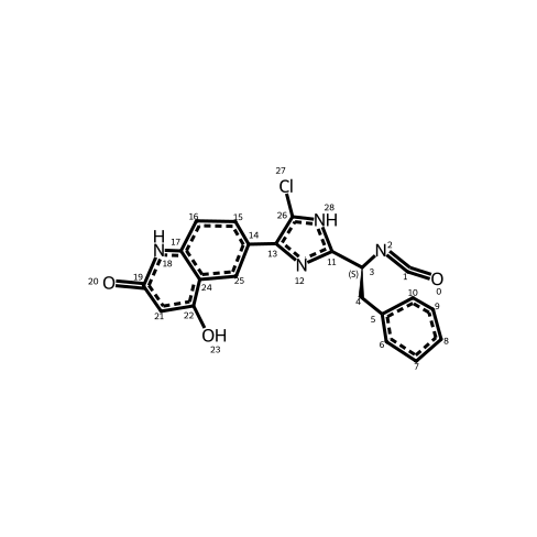 O=C=N[C@@H](Cc1ccccc1)c1nc(-c2ccc3[nH]c(=O)cc(O)c3c2)c(Cl)[nH]1